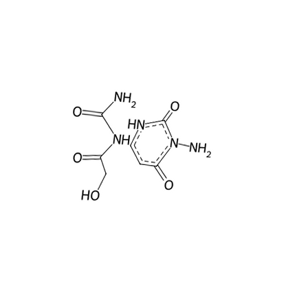 NC(=O)NC(=O)CO.Nn1c(=O)cc[nH]c1=O